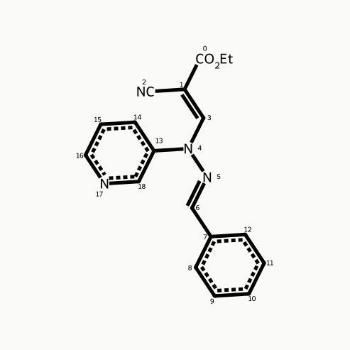 CCOC(=O)/C(C#N)=C/N(/N=C/c1ccccc1)c1cccnc1